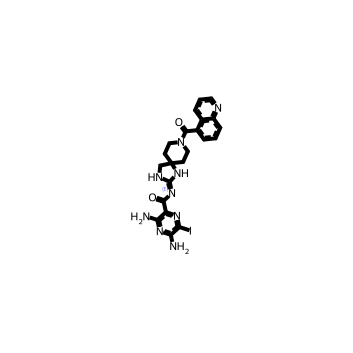 Nc1nc(N)c(C(=O)/N=C2\NCC3(CCN(C(=O)c4cccc5ncccc45)CC3)N2)nc1I